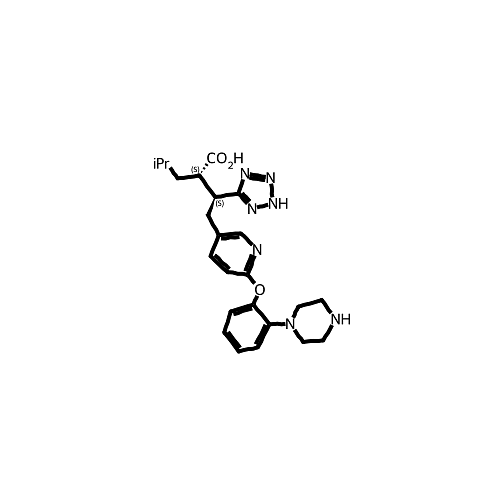 CC(C)C[C@H](C(=O)O)[C@H](Cc1ccc(Oc2ccccc2N2CCNCC2)nc1)c1nn[nH]n1